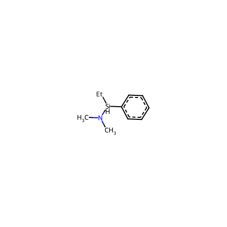 CC[SiH](c1ccccc1)N(C)C